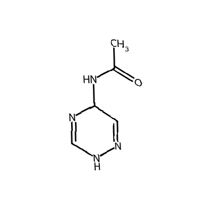 CC(=O)NC1C=NNC=N1